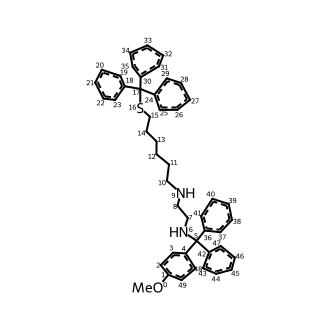 COc1ccc(C(NCCNCCCCCCSC(c2ccccc2)(c2ccccc2)c2ccccc2)(c2ccccc2)c2ccccc2)cc1